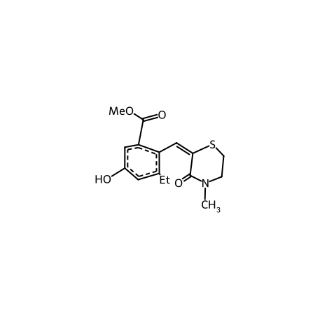 CCc1cc(O)cc(C(=O)OC)c1/C=C1/SCCN(C)C1=O